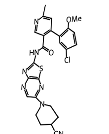 COc1ccc(Cl)cc1-c1cc(C)ncc1C(=O)Nc1nc2ncc(N3CCC(C#N)CC3)nc2s1